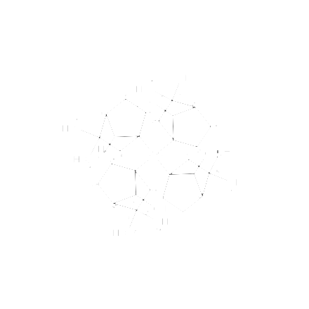 CC1C2CC[C]1([Cr]([C]13CCC(C1C)C(C)(C)C3)([C]13CCC(C1C)C(C)(C)C3)[C]13CCC(C1C)C(C)(C)C3)CC2(C)C